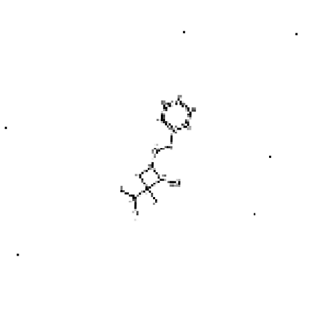 C[S+]([O-])C1(C)CC(OCc2ccccc2)C1S